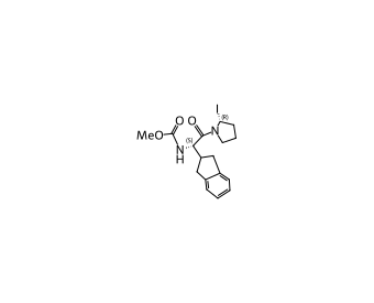 COC(=O)N[C@H](C(=O)N1CCC[C@H]1I)C1Cc2ccccc2C1